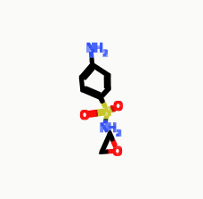 C1CO1.Nc1ccc(S(N)(=O)=O)cc1